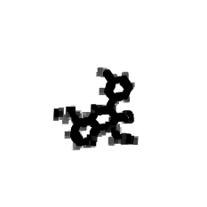 CCCCn1c(=O)c(-c2cccc(C)c2)nc2c(N)ccnc21